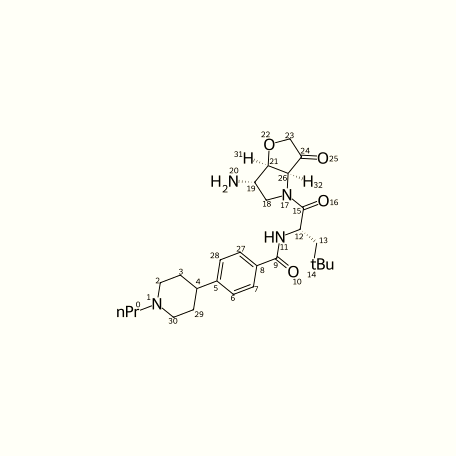 CCCN1CCC(c2ccc(C(=O)N[C@@H](CC(C)(C)C)C(=O)N3C[C@H](N)[C@H]4OCC(=O)[C@H]43)cc2)CC1